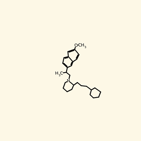 COc1ccc2cc(C(C)CN3CCCCC3CCCC3CCCCC3)ccc2c1